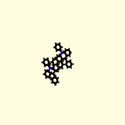 c1ccc(B2c3ccccc3N(c3ccccc3)c3cc4ccc5c6c(cc7ccc(c32)c4c75)B2c3ccccc3-c3cccc(c32)N6c2ccccc2)cc1